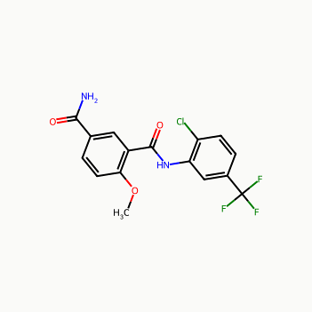 COc1ccc(C(N)=O)cc1C(=O)Nc1cc(C(F)(F)F)ccc1Cl